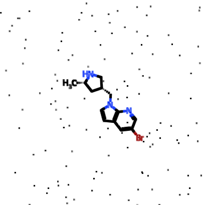 C[C@H]1C[C@@H](Cn2ccc3cc(Br)cnc32)CN1